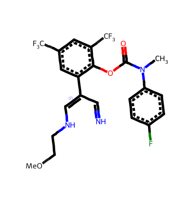 COCCN/C=C(\C=N)c1cc(C(F)(F)F)cc(C(F)(F)F)c1OC(=O)N(C)c1ccc(F)cc1